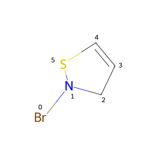 BrN1CC=CS1